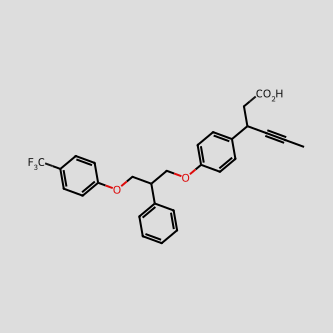 CC#CC(CC(=O)O)c1ccc(OCC(COc2ccc(C(F)(F)F)cc2)c2ccccc2)cc1